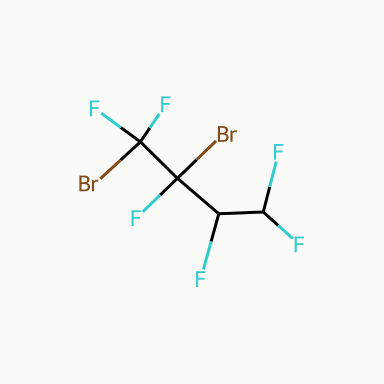 FC(F)C(F)C(F)(Br)C(F)(F)Br